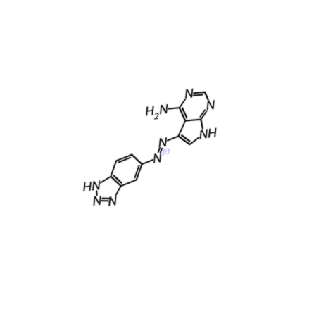 Nc1ncnc2[nH]cc(/N=N/c3ccc4[nH]nnc4c3)c12